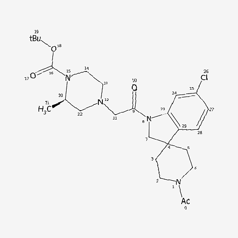 CC(=O)N1CCC2(CC1)CN(C(=O)CN1CCN(C(=O)OC(C)(C)C)[C@H](C)C1)c1cc(Cl)ccc12